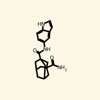 NC(=O)C12CC3CC(C1)CC(C(=O)Nc1ccc4[nH]ccc4c1)(C3)C2